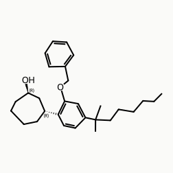 CCCCCCC(C)(C)c1ccc([C@@H]2CCCC[C@@H](O)C2)c(OCc2ccccc2)c1